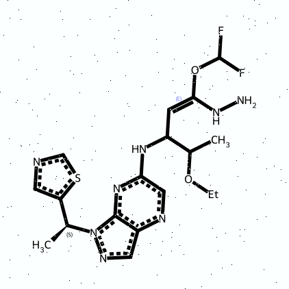 CCOC(C)C(/C=C(\NN)OC(F)F)Nc1cnc2cnn([C@@H](C)c3cncs3)c2n1